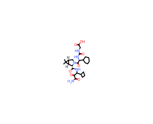 CC1(C)[C@@H]2[C@@H](C(=O)NC(C(=O)C(N)=O)C3CCC3)N(C(=O)[C@@H](NC(=O)NCC(=O)O)C3CCCCC3)C[C@@H]21